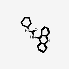 O=C(Nc1c2ccccc2nc2ccccc12)NC1CCCCC1